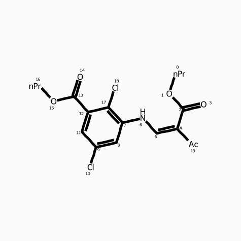 CCCOC(=O)C(=CNc1cc(Cl)cc(C(=O)OCCC)c1Cl)C(C)=O